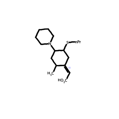 CCCSC1C/C(=C/C(=O)O)C(C)CC1N1CCCCC1